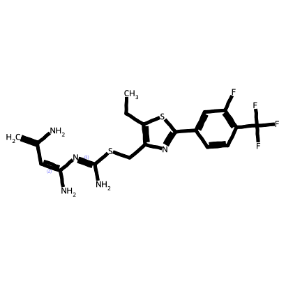 C=C(N)/C=C(N)\N=C(/N)SCc1nc(-c2ccc(C(F)(F)F)c(F)c2)sc1CC